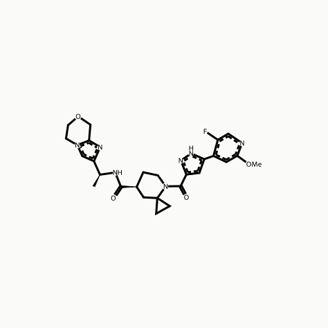 COc1cc(-c2cc(C(=O)N3CC[C@H](C(=O)N[C@@H](C)c4cn5c(n4)COCC5)CC34CC4)n[nH]2)c(F)cn1